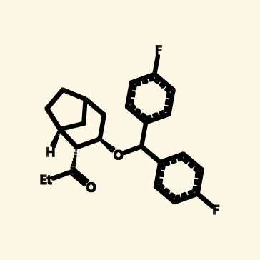 CCC(=O)[C@@H]1[C@@H]2CCC(C2)C[C@H]1OC(c1ccc(F)cc1)c1ccc(F)cc1